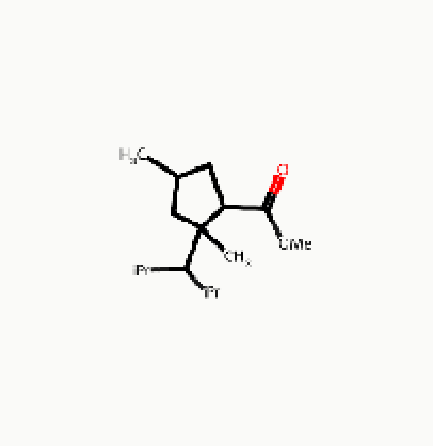 COC(=O)C1CC(C)CC1(C)C(C(C)C)C(C)C